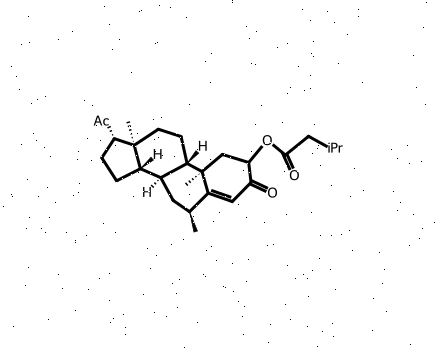 CC(=O)[C@H]1CC[C@H]2[C@@H]3C[C@H](C)C4=CC(=O)C(OC(=O)CC(C)C)C[C@]4(C)[C@H]3CC[C@]12C